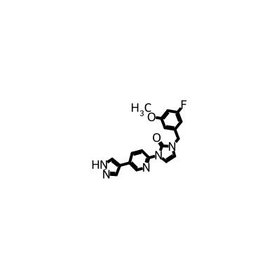 COc1cc(F)cc(Cn2ccn(-c3ccc(-c4cn[nH]c4)cn3)c2=O)c1